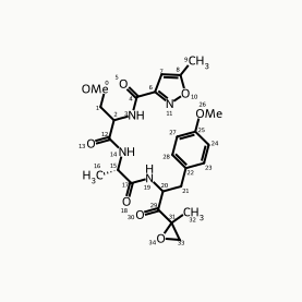 COCC(NC(=O)c1cc(C)on1)C(=O)N[C@@H](C)C(=O)NC(Cc1ccc(OC)cc1)C(=O)C1(C)CO1